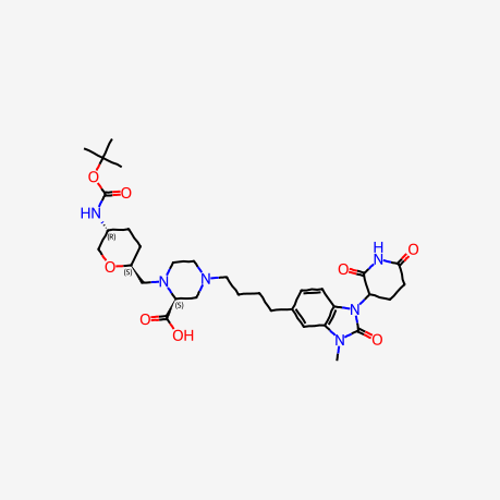 Cn1c(=O)n(C2CCC(=O)NC2=O)c2ccc(CCCCN3CCN(C[C@@H]4CC[C@@H](NC(=O)OC(C)(C)C)CO4)[C@H](C(=O)O)C3)cc21